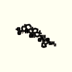 COC(=O)[C@@]1(C)CC[C@]2(C)CCCC3C(=CC(O)C4[C@@]3(C)CCC3C(C)(C)C(NC(=O)Nc5ccccc5C(N)=O)CC[C@@]34C)[C@H]2C1